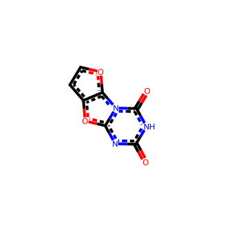 O=c1nc2oc3ccoc3n2c(=O)[nH]1